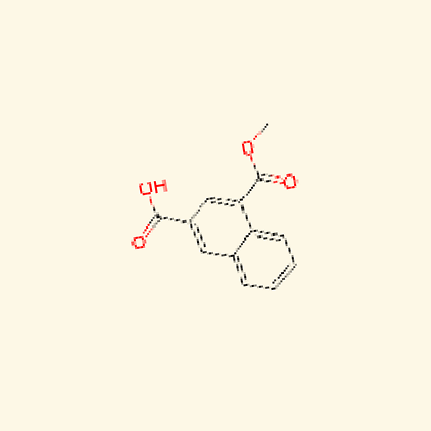 COC(=O)c1cc(C(=O)O)cc2ccccc12